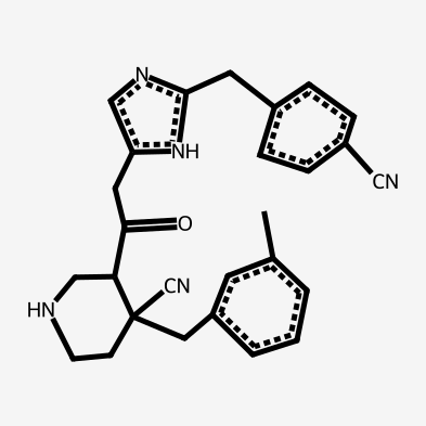 Cc1cccc(CC2(C#N)CCNCC2C(=O)Cc2cnc(Cc3ccc(C#N)cc3)[nH]2)c1